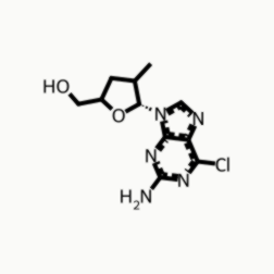 CC1CC(CO)O[C@H]1n1cnc2c(Cl)nc(N)nc21